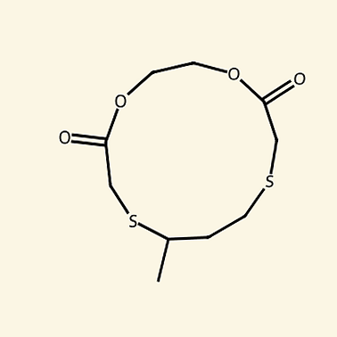 CC1CCSCC(=O)OCCOC(=O)CS1